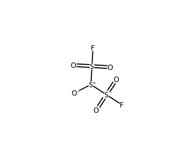 O=S(=O)(F)[S+]([O-])S(=O)(=O)F